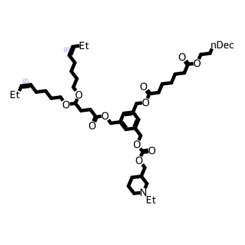 CC/C=C\CCCCOC(CCC(=O)OCc1cc(COC(=O)CCCCCC(=O)OCCCCCCCCCCCC)cc(COC(=O)OCC2CCCN(CC)C2)c1)OCCCC/C=C\CC